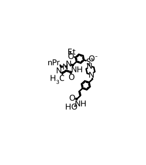 CCCc1nc(C)c2c(=O)[nH]c(-c3cc([S@+]([O-])N4CCN(Cc5ccc(/C=C/C(=O)NO)cc5)CC4)ccc3OCC)nn12